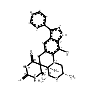 C[C@H]1CN2c3c(cc4c(-c5ccncn5)noc4c3Cl)CC3(C(=O)NC(=O)NC3=O)[C@@H]2[C@@H](C)O1